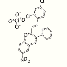 O=[N+]([O-])c1ccc2[o+]c(C=Cc3ccc(Cl)cc3Cl)c(-c3ccccc3)cc2c1.[O-][Cl+3]([O-])([O-])[O-]